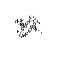 C=O.COc1ccc(N2CCN(C(=O)c3cc(C)nn3-c3ccc(C)cc3)CC2)cc1.Cc1ccc(-n2nc(C)cc2C(=O)N2CCN(c3cccc(C)c3)CC2)cc1